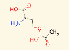 CC(=O)C(O)OCCC(N)C(=O)O